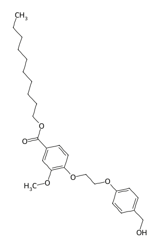 CCCCCCCCCCOC(=O)c1ccc(OCCOc2ccc(CO)cc2)c(OC)c1